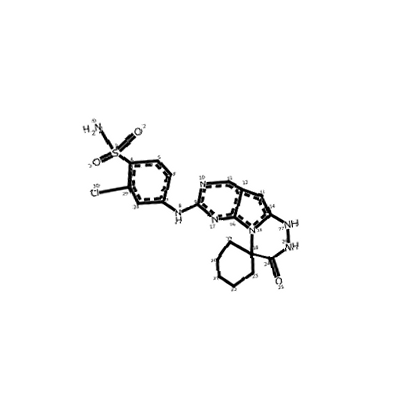 NS(=O)(=O)c1ccc(Nc2ncc3cc4n(c3n2)C2(CCCCC2)C(=O)NN4)cc1Cl